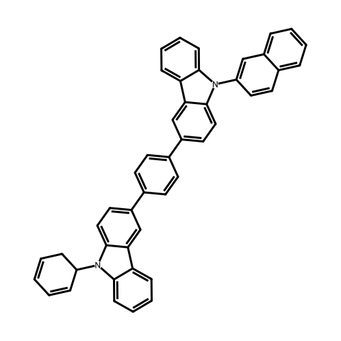 C1=CCC(n2c3ccccc3c3cc(-c4ccc(-c5ccc6c(c5)c5ccccc5n6-c5ccc6ccccc6c5)cc4)ccc32)C=C1